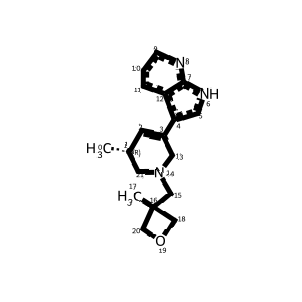 C[C@@H]1C=C(c2c[nH]c3ncccc23)CN(CC2(C)COC2)C1